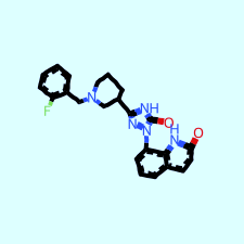 O=c1ccc2cccc(-n3nc(C4CCCN(Cc5ccccc5F)C4)[nH]c3=O)c2[nH]1